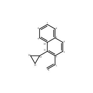 C=Cc1ccc2ccccc2c1C1CC1